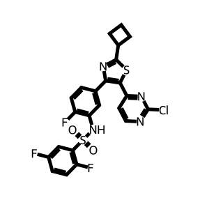 O=S(=O)(Nc1cc(-c2nc(C3CCC3)sc2-c2ccnc(Cl)n2)ccc1F)c1cc(F)ccc1F